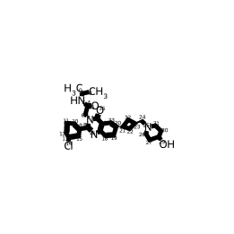 CC(C)NC(=O)Cn1c(-c2cccc(Cl)c2)nc2ccc([C@H]3C[C@H](CN4CCC(O)CC4)C3)cc2c1=O